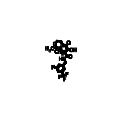 CC1(C)OCCn2c1nc(C(=O)NCc1cc(F)cc(C(F)(F)F)c1)c(O)c2=O